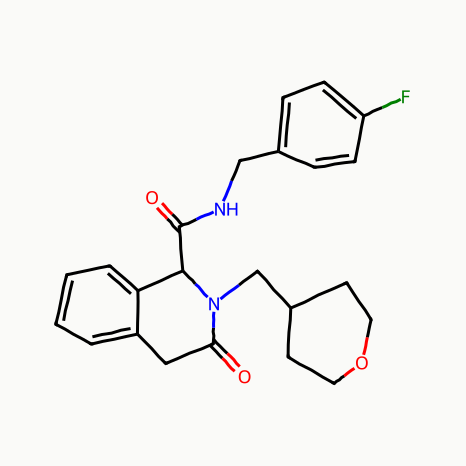 O=C(NCc1ccc(F)cc1)C1c2ccccc2CC(=O)N1CC1CCOCC1